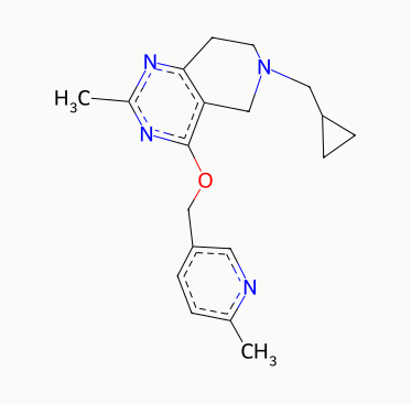 Cc1ccc(COc2nc(C)nc3c2CN(CC2CC2)CC3)cn1